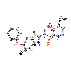 COc1ccnc(C(=O)Nc2nc3cc(C#N)c(Oc4ccccc4)cc3s2)c1O